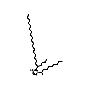 CCCCCCCCCCCCCCCCCCC(CCCC)c1[nH]cc[n+]1C(C)CCCCCCCC